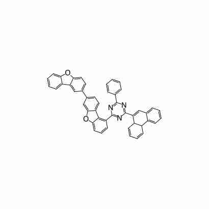 C1=CC2C(c3nc(-c4ccccc4)nc(-c4cccc5oc6cc(-c7ccc8oc9ccccc9c8c7)ccc6c45)n3)=Cc3ccccc3C2C=C1